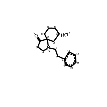 Cl.O=C1CCN(CCc2ccccc2)C12CCCCC2